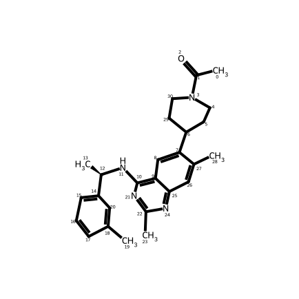 CC(=O)N1CCC(c2cc3c(N[C@H](C)c4cccc(C)c4)nc(C)nc3cc2C)CC1